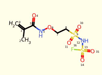 C=C(C)C(=O)NOCCS(=O)(=O)NS(=O)(=O)F